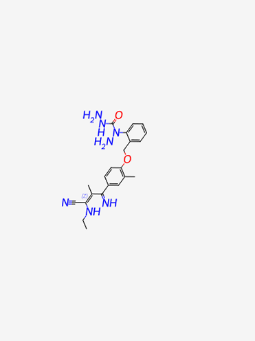 CCN/C(C#N)=C(/C)C(=N)c1ccc(OCc2ccccc2N(N)C(=O)NN)c(C)c1